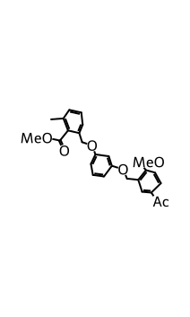 COC(=O)c1c(C)cccc1COc1cccc(OCc2cc(C(C)=O)ccc2OC)c1